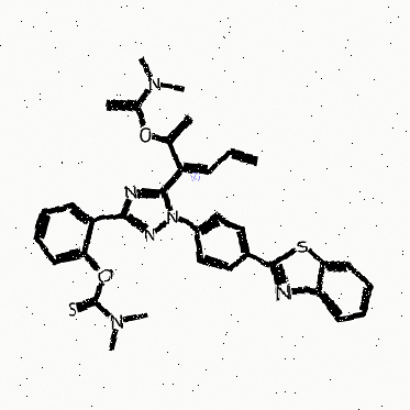 C=C/C=C(\C(=C)OC(=C)N(C)C)c1nc(-c2ccccc2OC(=S)N(C)C)nn1-c1ccc(-c2nc3ccccc3s2)cc1